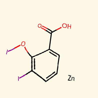 O=C(O)c1cccc(I)c1OI.[Zn]